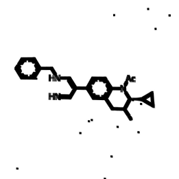 CC(=O)N1c2ccc(/C(C=N)=C/NCc3ccccc3)cc2CC(C)[C@@H]1C1CC1